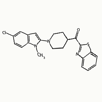 Cn1c(N2CCC(C(=O)c3nc4ccccc4s3)CC2)cc2cc(Cl)ccc21